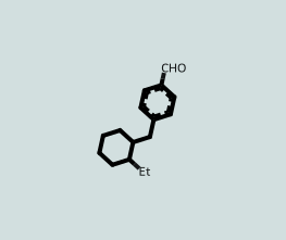 CCC1CCCCC1Cc1ccc(C=O)cc1